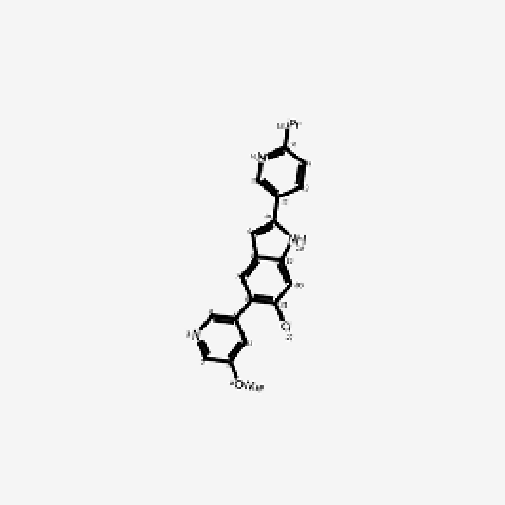 COc1cncc(-c2cc3cc(-c4ccc(C(C)C)nc4)[nH]c3cc2Cl)c1